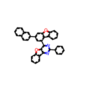 c1ccc(-c2nc(-c3cc(-c4ccc5ccccc5c4)cc4oc5ccccc5c34)c3oc4ccccc4c3n2)cc1